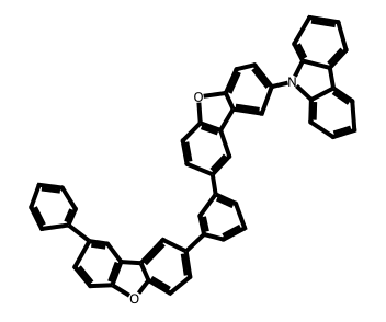 c1ccc(-c2ccc3oc4ccc(-c5cccc(-c6ccc7oc8ccc(-n9c%10ccccc%10c%10ccccc%109)cc8c7c6)c5)cc4c3c2)cc1